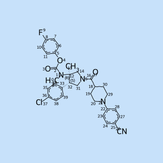 CN(C(=O)Oc1ccc(F)cc1)[C@@]1(C)CN(C(=O)C2CCN(c3ccc(C#N)cc3)CC2)C[C@@H]1c1ccc(Cl)cc1